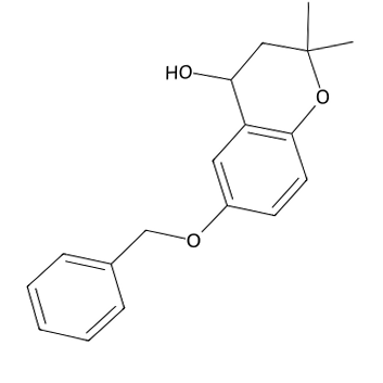 CC1(C)CC(O)c2cc(OCc3ccccc3)ccc2O1